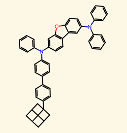 c1ccc(N(c2ccc(-c3ccc(C45CC6CC7CC(C4)C765)cc3)cc2)c2ccc3c(c2)oc2ccc(N(c4ccccc4)c4ccccc4)cc23)cc1